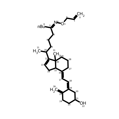 C=CCO/N=C(/CCCC)CCCC(C)C1=CCC2/C(=C/C=C3/CC(O)CCC3=C)CCCC12C